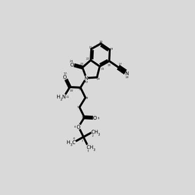 CC(C)(C)OC(=O)CCC(C(N)=O)N1Cc2c(C#N)cccc2C1=O